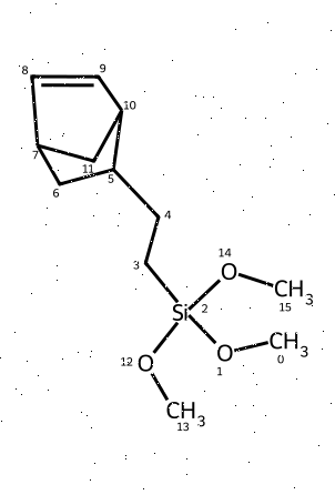 CO[Si](CCC1CC2C=CC1C2)(OC)OC